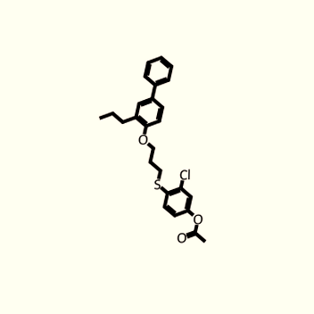 CCCc1cc(-c2ccccc2)ccc1OCCCSc1ccc(OC(C)=O)cc1Cl